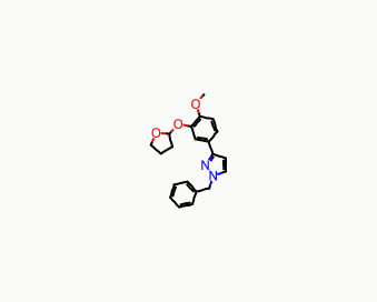 COc1ccc(-c2ccn(Cc3ccccc3)n2)cc1OC1CCCO1